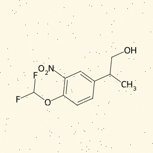 C[C](CO)c1ccc(OC(F)F)c([N+](=O)[O-])c1